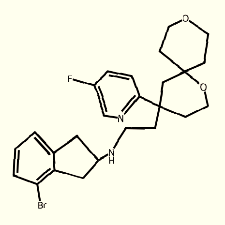 Fc1ccc(C2(CCNC3Cc4cccc(Br)c4C3)CCOC3(CCOCC3)C2)nc1